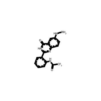 NNc1ccc2nc(-c3ccccc3NC(=O)C(F)(F)F)[nH]c(=O)c2c1